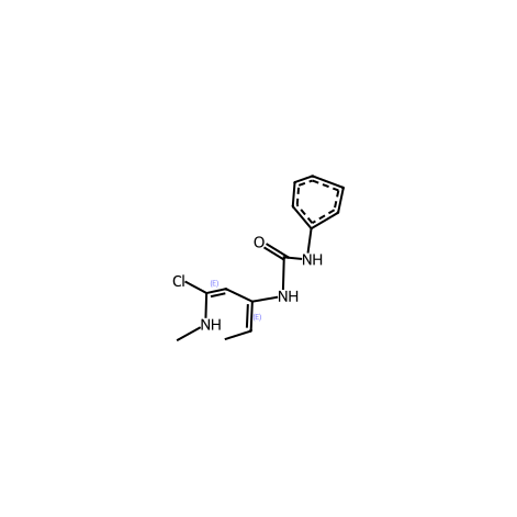 C/C=C(\C=C(\Cl)NC)NC(=O)Nc1ccccc1